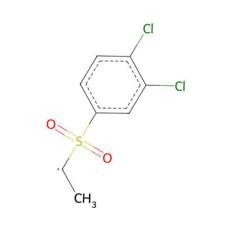 C[CH]S(=O)(=O)c1ccc(Cl)c(Cl)c1